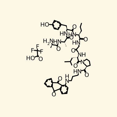 CCC[C@H](NC(=O)[C@H](Cc1ccc(O)cc1)NC(=O)[C@H](C)NC(=O)[C@@H](C)N)C(=O)NCC(=O)N[C@@H](CC(C)C)C(=O)N1CCC[C@H]1C(=O)NCCCNc1cccc2c1C(=O)c1ccccc1C2=O.O=C(O)C(F)(F)F